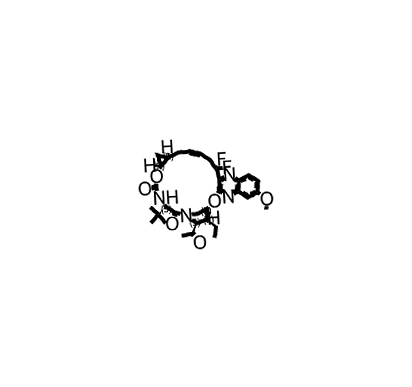 CC[C@@H]1[C@@H]2CN(C(=O)[C@H](C(C)(C)C)NC(=O)O[C@@H]3C[C@H]3CC=CCC(F)(F)c3nc4ccc(OC)cc4nc3O2)[C@@H]1C(C)=O